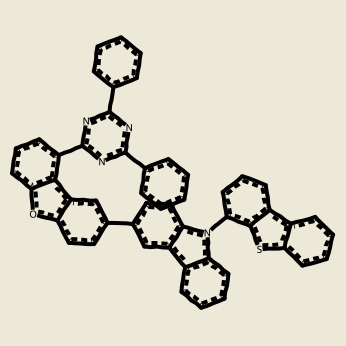 c1ccc(-c2nc(-c3ccccc3)nc(-c3cccc4oc5ccc(-c6ccc7c(c6)c6ccccc6n7-c6cccc7c6sc6ccccc67)cc5c34)n2)cc1